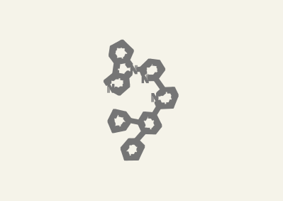 c1ccc(-c2ccc(-c3cccc(-c4cccc(-n5c6ccccc6c6cnccc65)n4)n3)cc2-c2ccccc2)cc1